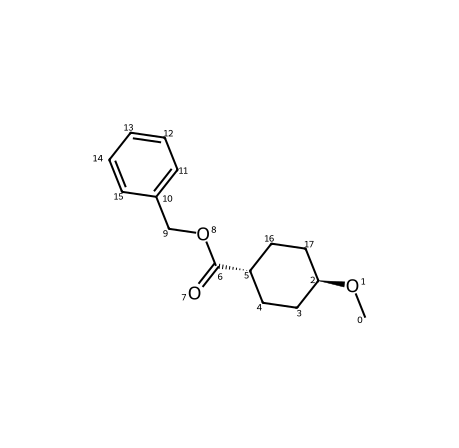 CO[C@H]1CC[C@H](C(=O)OCc2ccccc2)CC1